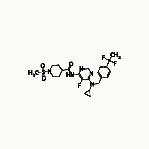 CC(F)(F)c1ccc(CN(c2ncnc(NC(=O)C3CCN(S(C)(=O)=O)CC3)c2F)C2CC2)cc1